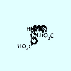 C1=NNCN1.O=C(O)C1=CN2CNN=C2C=C1.O=C(O)c1ccccn1